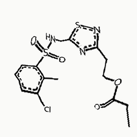 CCC(=O)OCCc1nsc(NS(=O)(=O)c2cccc(Cl)c2C)n1